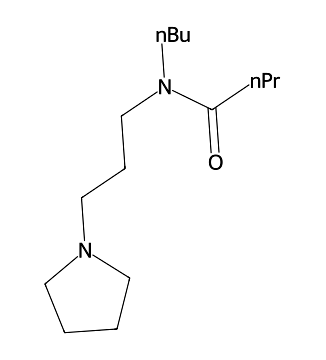 CCCCN(CCCN1CCCC1)C(=O)CCC